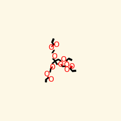 C=CC(=O)OCCOCC(CCOC(=O)C=C)(COCCOC(=O)C=C)COCCOC(=O)C=C